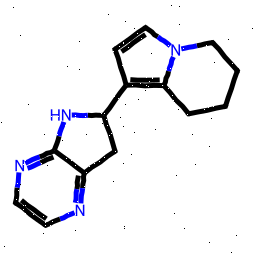 c1cnc2c(n1)CC(c1ccn3c1CCCC3)N2